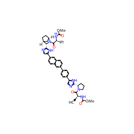 C#C[C@H](NC(=O)OC)C(=O)N1CCC[C@H]1c1ncc(-c2ccc(-c3ccc4cc(-c5cnc([C@@H]6[C@H]7CC[C@H](C7)N6C(=O)[C@@H](NC(=O)OC)C(C)C)[nH]5)ccc4c3)cc2)[nH]1